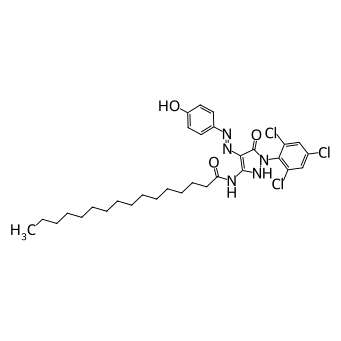 CCCCCCCCCCCCCCCC(=O)Nc1[nH]n(-c2c(Cl)cc(Cl)cc2Cl)c(=O)c1N=Nc1ccc(O)cc1